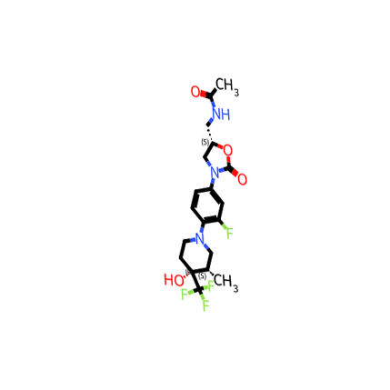 CC(=O)NC[C@H]1CN(c2ccc(N3CC[C@](O)(C(F)(F)F)[C@@H](C)C3)c(F)c2)C(=O)O1